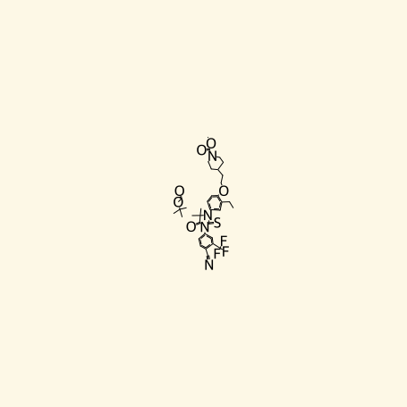 CC(C)(C)OC=O.CCc1cc(N2C(=S)N(c3ccc(C#N)c(C(F)(F)F)c3)C(=O)C2(C)C)ccc1OCCC1CCN(C(=O)OC)CC1